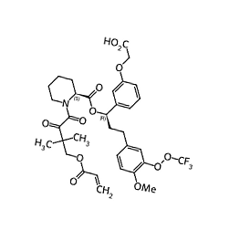 C=CC(=O)OCC(C)(C)C(=O)C(=O)N1CCCC[C@H]1C(=O)O[C@H](CCc1ccc(OC)c(OOC(F)(F)F)c1)c1cccc(OCC(=O)O)c1